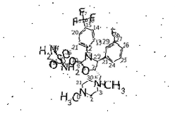 CN1CC[N+](C)(C[C@@H]2OC(=O)N(c3ccc(C(F)(F)F)cc3)[C@H]2c2cccc(F)c2)CC1.NS(N)(=O)=O